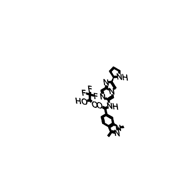 Cc1nn(C)c2cc(C(=O)Nc3cn4cc([C@H]5CCCN5)nc4cn3)ccc12.O=C(O)C(F)(F)F